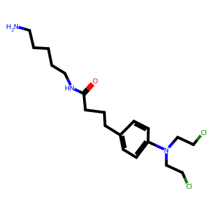 NCCCCCNC(=O)CCCc1ccc(N(CCCl)CCCl)cc1